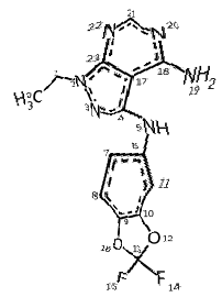 CCn1nc(Nc2ccc3c(c2)OC(F)(F)O3)c2c(N)ncnc21